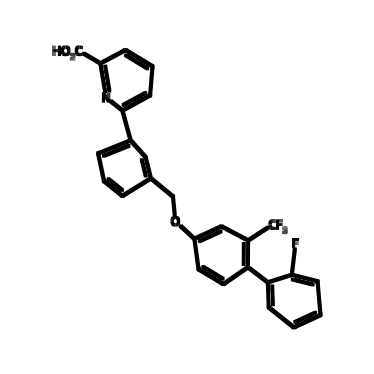 O=C(O)c1cccc(-c2cccc(COc3ccc(-c4ccccc4F)c(C(F)(F)F)c3)c2)n1